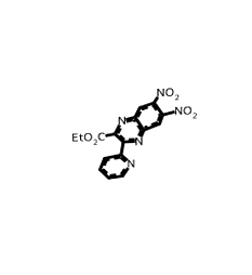 CCOC(=O)c1nc2cc([N+](=O)[O-])c([N+](=O)[O-])cc2nc1-c1ccccn1